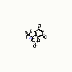 O=[N+]([O-])/C=C(\c1cc(Cl)cc(Cl)c1)C(F)(F)F